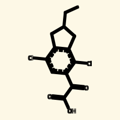 CCC1Cc2c(Cl)cc(C(=O)C(=O)O)c(Cl)c2C1